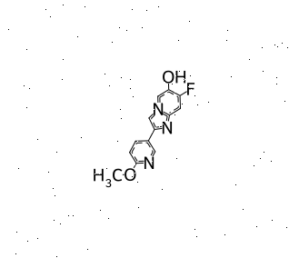 COc1ccc(-c2cn3cc(O)c(F)cc3n2)cn1